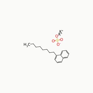 CCCCCCCCc1cccc2ccccc12.O=S(=O)([O-])[O-].[K+].[K+]